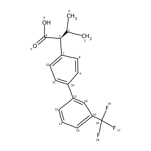 CC(C)[C@H](C(=O)O)c1ccc(-c2cccc(C(F)(F)F)c2)cc1